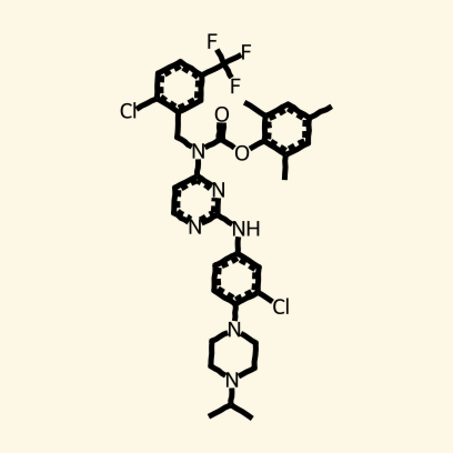 Cc1cc(C)c(OC(=O)N(Cc2cc(C(F)(F)F)ccc2Cl)c2ccnc(Nc3ccc(N4CCN(C(C)C)CC4)c(Cl)c3)n2)c(C)c1